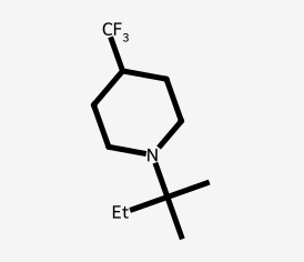 CCC(C)(C)N1CCC(C(F)(F)F)CC1